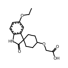 CCOc1ccc2c(c1)C1(CCC(OCC(=O)O)CC1)C(=O)N2